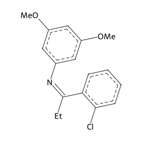 CC/C(=N/c1cc(OC)cc(OC)c1)c1ccccc1Cl